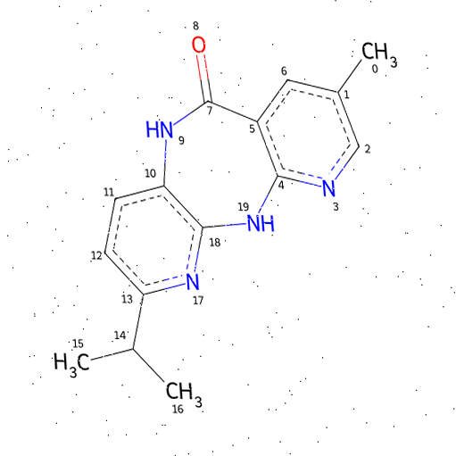 Cc1cnc2c(c1)C(=O)Nc1ccc(C(C)C)nc1N2